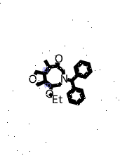 CCO/C1=C2\COC\C2=C(/C)C(=O)CN(C(c2ccccc2)c2ccccc2)C1